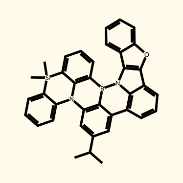 CC(C)c1cc2c3c(c1)N1c4ccccc4[Si](C)(C)c4cccc(c41)B3n1c3c-2cccc3c2oc3ccccc3c21